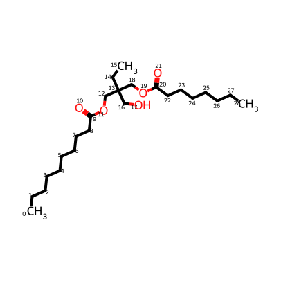 CCCCCCCCCC(=O)OCC(CC)(CO)COC(=O)CCCCCCC